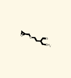 [CH2]CC(C=O)CCOCC1CO1